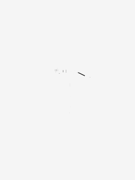 O.O.O.O.O.O=S(=O)(O)O.[Cu].[H+]